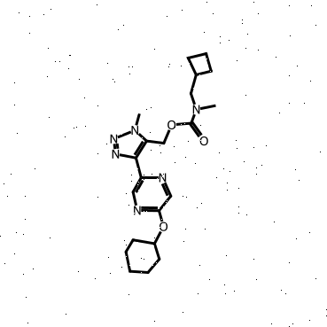 CN(CC1CCC1)C(=O)OCc1c(-c2cnc(OC3CCCCC3)cn2)nnn1C